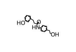 O=C(CCc1cccc(O)c1)Nc1ccc(CCO)cc1